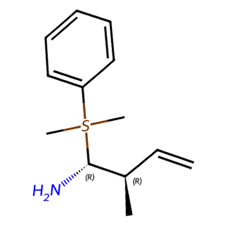 C=C[C@@H](C)[C@H](N)S(C)(C)c1ccccc1